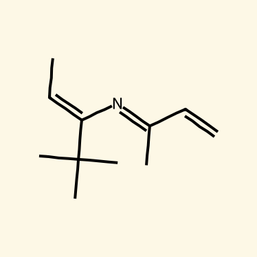 C=C/C(C)=N/C(=C\C)C(C)(C)C